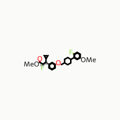 COC(=O)[C@@H](F)[C@H](c1cccc(OCC2CCC(c3cc(OC)ccc3F)CC2)c1)C1CC1